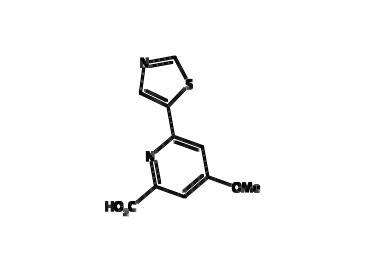 COc1cc(C(=O)O)nc(-c2cncs2)c1